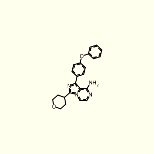 Nc1nccn2c(C3CCOCC3)nc(-c3ccc(Oc4ccccc4)cc3)c12